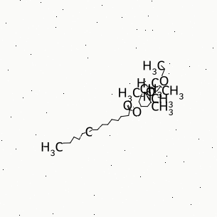 CCCCCCCCCCCCCCCC(=O)OC1CC(C)(C)N(OCC(C)(C)OCCC)C(C)(C)C1